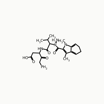 Cc1c(C(=O)N(N)C(C(=O)NC(CC(=O)O)C(=O)CP)C(C)C)n(C)c2c1=CCCC=2